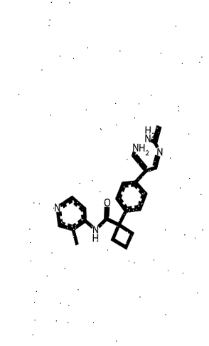 C=C(N)/N=C\C(=C/N)c1ccc(C2(C(=O)Nc3ccncc3C)CCC2)cc1